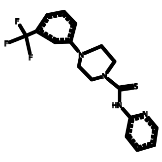 FC(F)(F)c1cccc(N2CCN(C(=S)Nc3ccccn3)CC2)c1